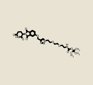 CC(C)(C)OC(=O)NCCOCCOCCn1cc(COc2ccc3c(c2)C(=O)N(C2CCC(=O)NC2=O)C3=O)nn1